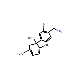 CC1=CC=C(C(=O)O)CC1(C(=O)O)c1ccc(CN)c(Br)c1